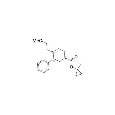 COCCN1CCN(C(=O)OC2(C)CC2)C[C@@H]1c1ccccc1